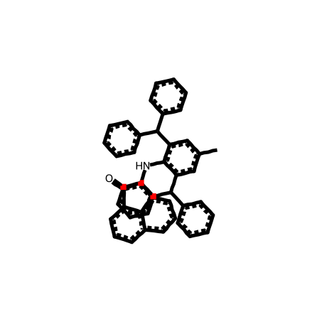 Cc1cc(C(c2ccccc2)c2ccccc2)c(NC2C(=O)c3cccc4cccc2c34)c(C(c2ccccc2)c2ccccc2)c1